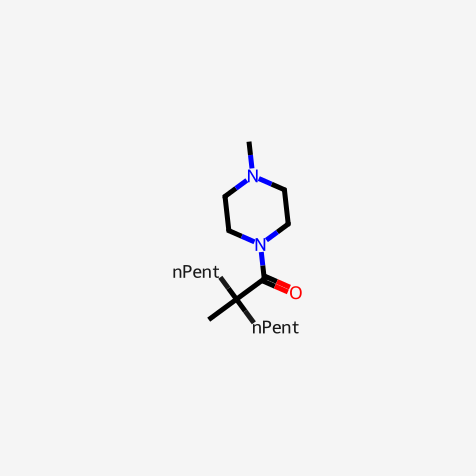 CCCCCC(C)(CCCCC)C(=O)N1CCN(C)CC1